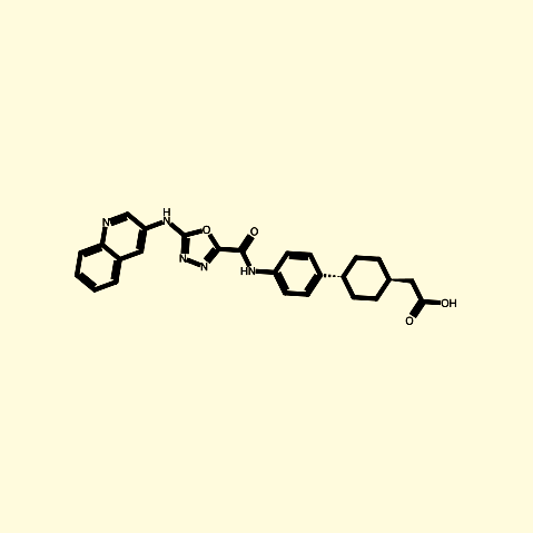 O=C(O)C[C@H]1CC[C@H](c2ccc(NC(=O)c3nnc(Nc4cnc5ccccc5c4)o3)cc2)CC1